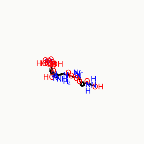 [N-]=[N+]=NC(COc1cccc(C(=O)NCCNO)c1)OCCOCC(=O)NCC#CC1=CN([C@H]2CC[C@@H](COP(=O)(O)OP(=O)(O)OP(=O)(O)O)O2)C(O)N=C1N